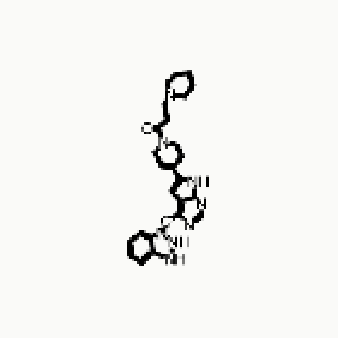 O=C(CCN1CCCCC1)N1CC=C(c2cc3c(ON4NNc5ccccc54)ncnc3[nH]2)CC1